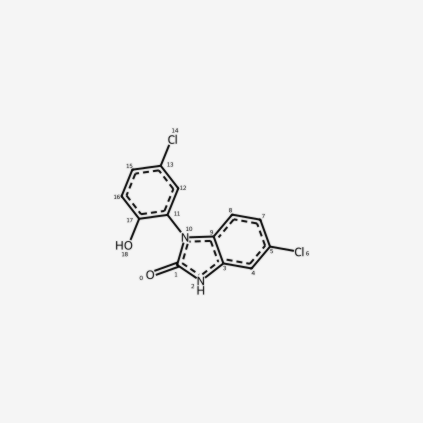 O=c1[nH]c2cc(Cl)ccc2n1-c1cc(Cl)ccc1O